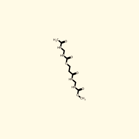 COC(=O)NCNC(=O)CCOC(=O)NCNC(C)=O